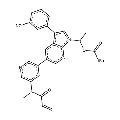 C=CC(=O)N(C)c1cncc(-c2cnc3c(c2)c(-c2cccc(C#N)c2)cn3C(C)OC(=O)C(C)(C)C)c1